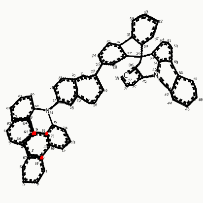 c1ccc(-c2ccccc2-c2ccccc2N(c2ccc3cc(-c4ccc5c(c4)C4(c6ccccc6-5)c5ccccc5-n5c6ccccc6c6cccc4c65)ccc3c2)c2ccccc2-c2ccccc2)cc1